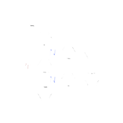 C/C=C/c1ccc(N(c2ccc(/C=C/C)cc2)c2cc(Br)cc(N(c3ccccc3)c3ccc(-c4ccccc4)cc3)c2)cc1